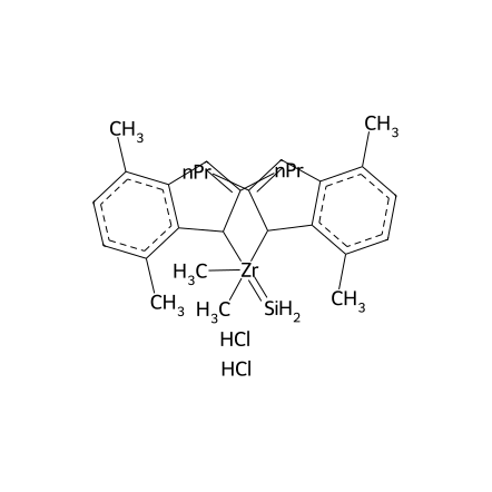 CCCC1=Cc2c(C)ccc(C)c2[CH]1[Zr]([CH3])([CH3])(=[SiH2])[CH]1C(CCC)=Cc2c(C)ccc(C)c21.Cl.Cl